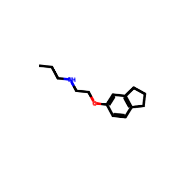 CCCNCCOc1ccc2c(c1)CCC2